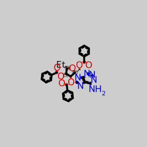 CC[C@H]1O[C@@](COC(=O)c2ccccc2)(n2cnc3c(N)nnnc32)C(OC(=O)c2ccccc2)[C@H]1OC(=O)c1ccccc1